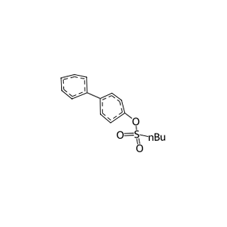 CCCCS(=O)(=O)Oc1ccc(-c2ccccc2)cc1